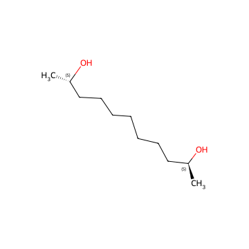 C[C@H](O)CCCCCCC[C@H](C)O